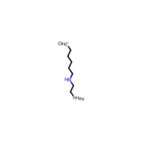 CCCCCCCCNCCCCC[C]=O